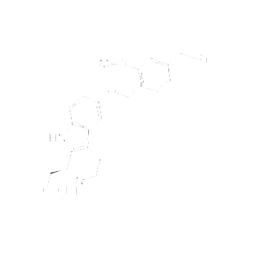 COc1cc(CC(C)C)ccc1COc1ccc2[nH]c3c(c2c1)CCN[C@H]3CC(=O)O